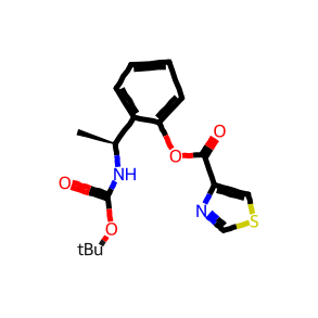 C[C@H](NC(=O)OC(C)(C)C)c1ccccc1OC(=O)c1cscn1